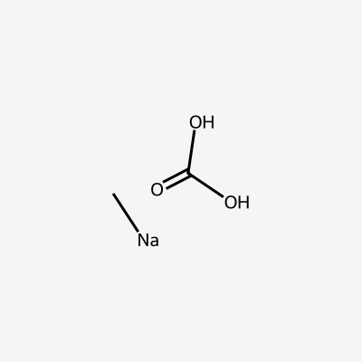 O=C(O)O.[CH3][Na]